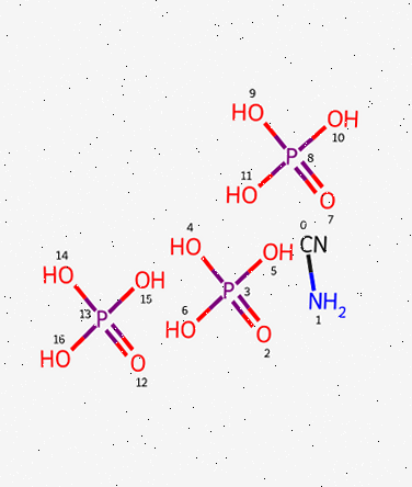 N#CN.O=P(O)(O)O.O=P(O)(O)O.O=P(O)(O)O